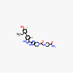 CCc1cc(O)c(F)cc1-c1cc(F)c2c(-c3nc4c([nH]3)CCN(C(=O)CN3CCC(C(N)=O)CC3)C4)n[nH]c2c1